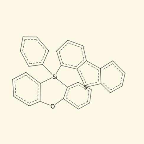 c1ccc([Si]2(c3cccc4c3sc3ccccc34)c3ccccc3Oc3ccccc32)cc1